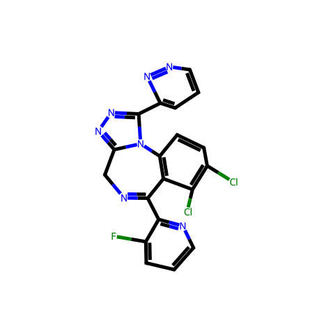 Fc1cccnc1C1=NCc2nnc(-c3cccnn3)n2-c2ccc(Cl)c(Cl)c21